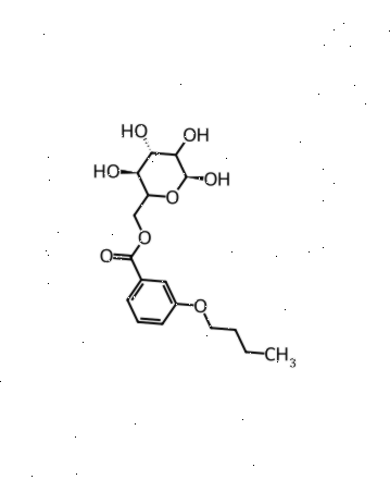 CCCCOc1cccc(C(=O)OCC2O[C@H](O)C(O)[C@@H](O)[C@@H]2O)c1